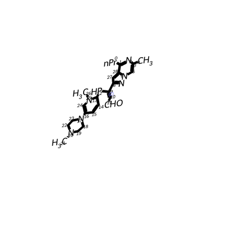 CCCc1nc(C)cn2nc(/C(=C/C=O)PC3C=CC(N4CCN(C)CC4)=CN3C)cc12